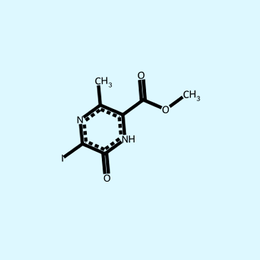 COC(=O)c1[nH]c(=O)c(I)nc1C